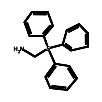 NCS(c1ccccc1)(c1ccccc1)c1ccccc1